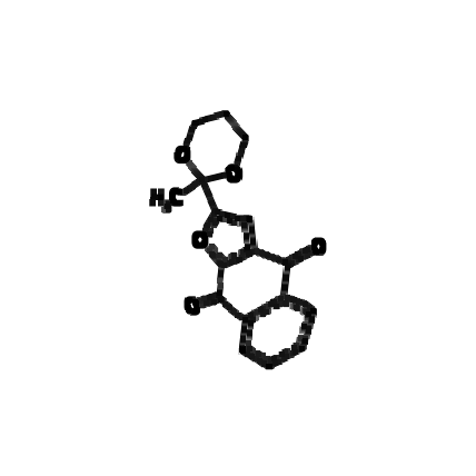 CC1(c2cc3c(o2)C(=O)c2ccccc2C3=O)OCCCO1